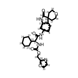 O=C(N[C@H](C(=O)Nc1ccc2c(c1)NC(=O)C21CCOCC1)C1CCCCC1)OCc1ncco1